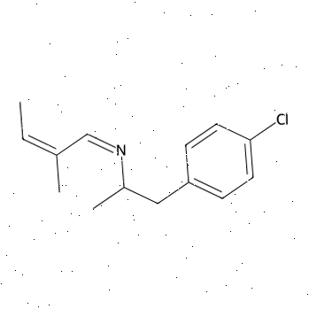 C/C=C(C)\C=N/C(C)Cc1ccc(Cl)cc1